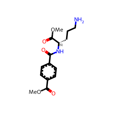 COC(=O)c1ccc(C(=O)N[C@@H](CCCN)C(=O)OC)cc1